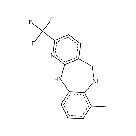 Cc1cccc2c1NCc1ccc(C(F)(F)F)nc1N2